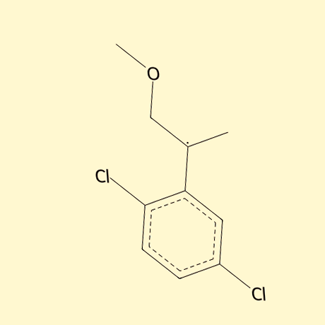 COC[C](C)c1cc(Cl)ccc1Cl